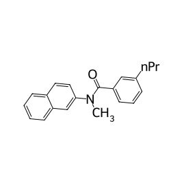 CCCc1cccc(C(=O)N(C)c2ccc3ccccc3c2)c1